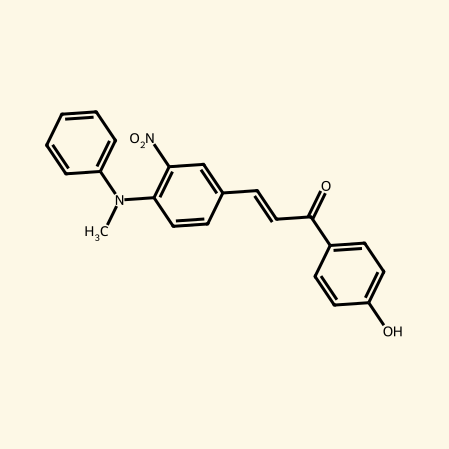 CN(c1ccccc1)c1ccc(C=CC(=O)c2ccc(O)cc2)cc1[N+](=O)[O-]